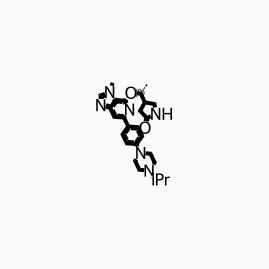 CC(C)N1CCN(c2ccc(-c3cc4ncn(C)c4c(O[C@H](C)C4CNC(=O)C4)n3)cc2)CC1